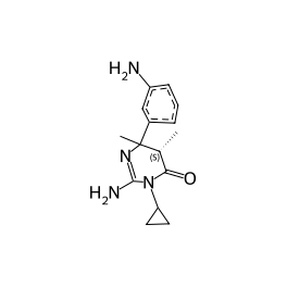 C[C@@H]1C(=O)N(C2CC2)C(N)=NC1(C)c1cccc(N)c1